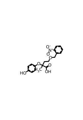 CC(CCOCc1ccccc1[N+](=O)[O-])(Oc1ccc(O)cc1)C(=O)O